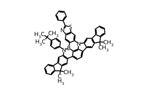 CC(C)(C)c1ccc(N2B3c4cc5nc(-c6ccccc6)sc5cc4-n4c5cc6c(cc5c5ccc(c3c54)-c3cc4c(cc32)-c2ccccc2C4(C)C)C(C)(C)c2ccccc2-6)cc1